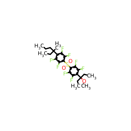 CCCC(C)(CC)c1c(F)c(F)c(S(=O)(=O)c2c(F)c(F)c(C(CC)(CC)OC)c(F)c2F)c(F)c1F